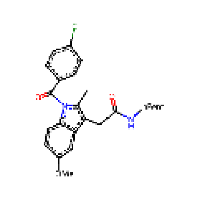 CCCCCNC(=O)Cc1c(C)n(C(=O)c2ccc(Cl)cc2)c2ccc(OC)cc12